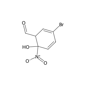 O=CC1C=C(Br)C=CC1(O)[N+](=O)[O-]